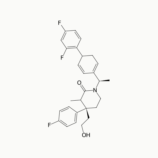 CC1C(=O)N([C@H](C)C2=CCC(c3ccc(F)cc3F)C=C2)CC[C@]1(CCO)c1ccc(F)cc1